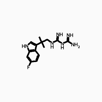 CC(C)(CNC(=N)NC(=N)N)c1c[nH]c2cc(F)ccc12